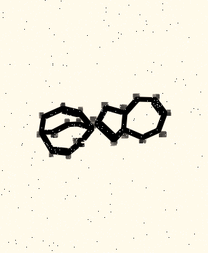 C1=CC2CC=CC(C1)CCC2.C1=CCC2CC=CC2CC1